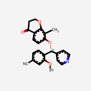 Cc1c(O[C@H](c2ccncc2)c2ccc(C#N)cc2OC(C)C)ccc2c1OCCC2=O